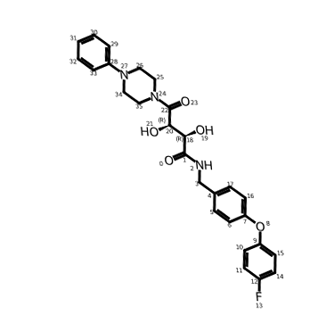 O=C(NCc1ccc(Oc2ccc(F)cc2)cc1)[C@H](O)[C@@H](O)C(=O)N1CCN(c2ccccc2)CC1